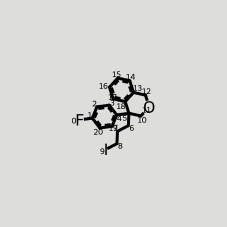 Fc1ccc(C2(CCCI)COCc3ccccc32)cc1